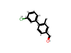 Cc1cc(C=O)ccc1-c1cccc(Cl)c1